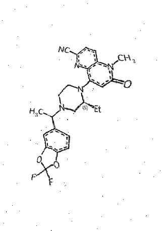 CC[C@H]1CN(C(C)c2ccc3c(c2)OC(F)(F)O3)CCN1c1cc(=O)n(C)c2ccc(C#N)nc12